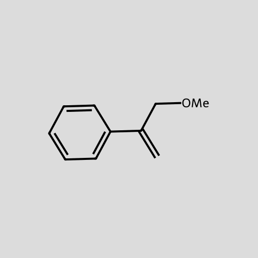 C=C(COC)c1ccccc1